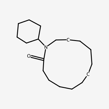 O=C1CCCCCCCCCCCN1C1CCCCC1